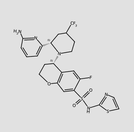 Nc1cccc([C@@H]2CC(C(F)(F)F)CCN2[C@H]2CCOc3cc(S(=O)(=O)Nc4nccs4)c(F)cc32)n1